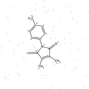 CC1=C(C)C(=O)N(c2ccc(C)cc2)C1=O